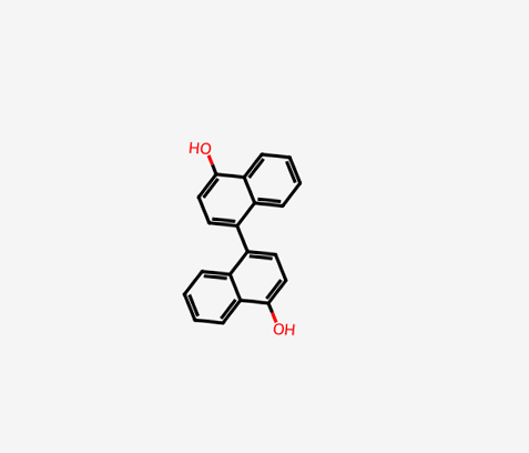 Oc1ccc(-c2ccc(O)c3ccccc23)c2ccccc12